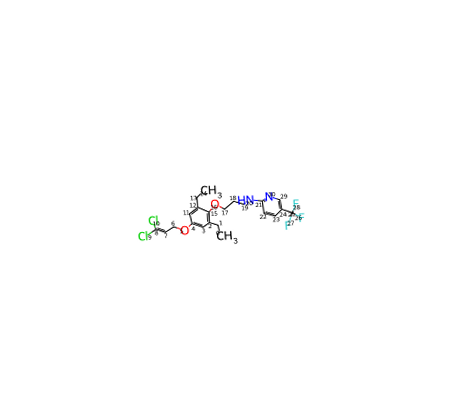 CCc1cc(OCC=C(Cl)Cl)cc(CC)c1OCCCNc1ccc(C(F)(F)F)cn1